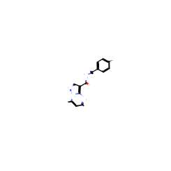 Cc1cc(C)n2ncc(C(=O)NC(C)(C)c3ccc(Cl)cc3)c2n1